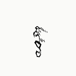 Bc1ccc(-c2ccnc(Nc3cccc(CN4CCCCC4)c3)n2)s1